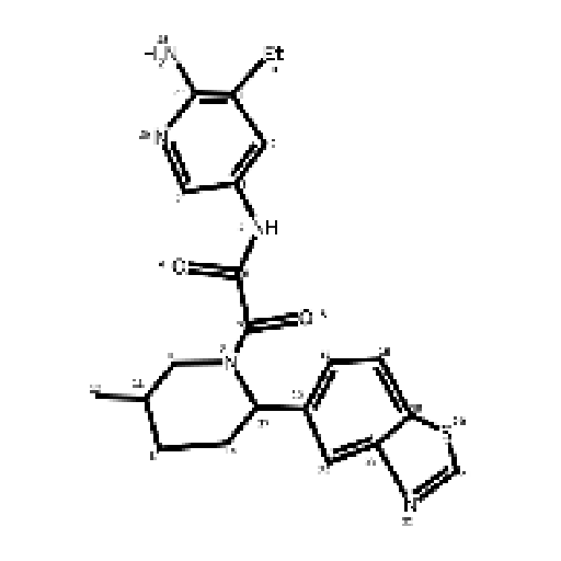 CCc1cc(NC(=O)C(=O)N2CC(C)CCC2c2ccc3scnc3c2)cnc1N